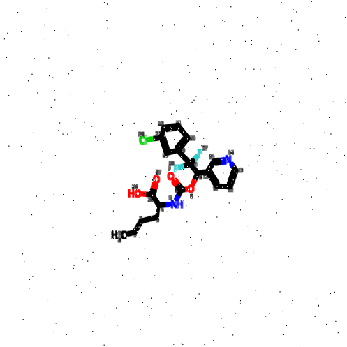 CCCC[C@H](NC(=O)OC(c1cccnc1)C(F)(F)c1cccc(Cl)c1)C(=O)O